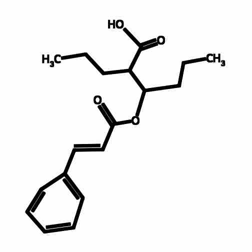 CCCC(OC(=O)C=Cc1ccccc1)C(CCC)C(=O)O